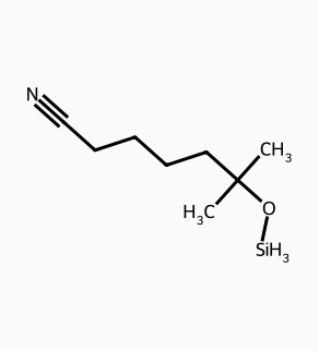 CC(C)(CCCCC#N)O[SiH3]